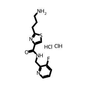 Cl.Cl.NCCCc1nc(C(=O)NCc2ncccc2F)cs1